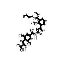 CCCCO[C@H](CC)c1cccc(-c2csc(NC(=O)c3cc(Cl)c(C=C(C)C(=O)O)c(Cl)c3)n2)c1OC